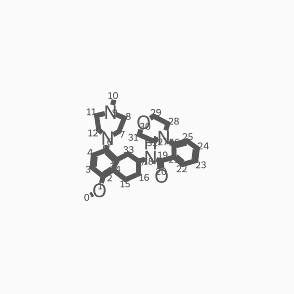 COc1ccc(N2CCN(C)CC2)c2c1CCC(NC(=O)c1ccccc1N1CCOCC1)C2